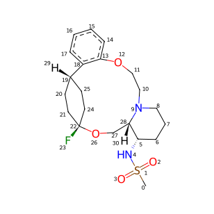 CS(=O)(=O)N[C@H]1CCCN2CCOc3ccccc3[C@H]3CC[C@](F)(CC3)OC[C@@H]12